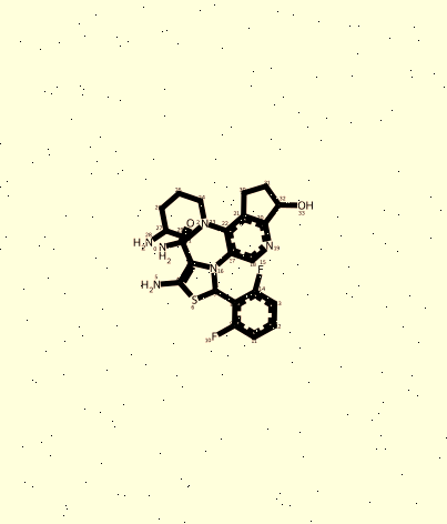 NC(=O)C1=C(N)SC(c2c(F)cccc2F)N1c1cnc2c(c1N1CCCC(N)C1)CCC2O